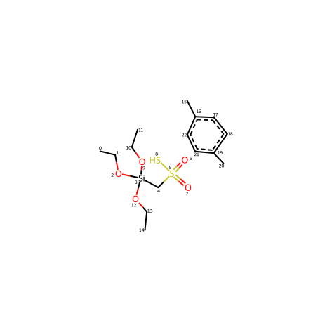 CCO[Si](CS(=O)(=O)S)(OCC)OCC.Cc1ccc(C)cc1